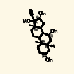 C#C[C@]1(O)[C@H](O)CC2C3C(CC[C@@]21C)[C@@]1(C)CC[C@@H](O)C[C@H]1C[C@H]3O